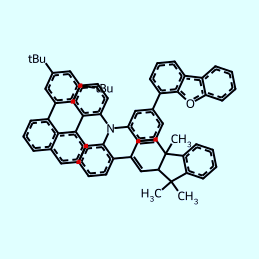 CC(C)(C)c1cc(-c2cccc3cccc(-c4ccccc4N(c4cccc(-c5cccc6c5oc5ccccc56)c4)c4ccccc4C4=CC5C(C)(C)c6ccccc6C5(C)C=C4)c23)cc(C(C)(C)C)c1